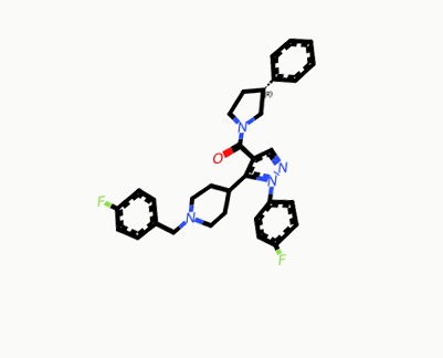 O=C(c1cnn(-c2ccc(F)cc2)c1C1CCN(Cc2ccc(F)cc2)CC1)N1CC[C@H](c2ccccc2)C1